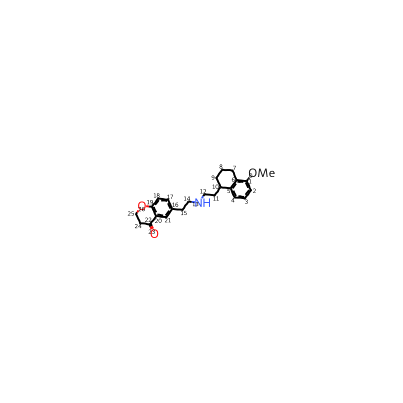 COc1cccc2c1CCCC2CCNCCc1ccc2c(c1)C(=O)CCO2